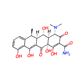 C[C@@H]1c2cccc(O)c2C(O)=C2C(=O)[C@]3(O)C(O)=C(C(N)=O)C(=O)[C@@H](N(C)C)[C@@H]3[C@@H](O)[C@@H]21